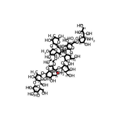 CC1C(O)[C@H](O[C@@H]2OC(CO)[C@H](O)C(O)[C@@H]2O)[C@H](CO)O[C@H]1O[C@@H]1C(O)[C@H](O)C(CO)O[C@@H]1OCC(O[C@H](CO)O[C@@H]1C(CO)O[C@@H](O[C@@H]2C(CO)O[C@@H](C)[C@@H](C)C2O)[C@@H](C)C1O)[C@@H](O)[C@@H](C)O[C@H]1O[C@H](CO)[C@@H](O)C(O)C1O[C@@H]1OC(CO)[C@@H](O[C@@H]2OC(CO[C@]3(C(=O)O)C[C@@H](O)[C@@H](N)C([C@@H](O)C(O)CO)O3)[C@H](O)C(O)[C@@H]2O)C(O)[C@@H]1C